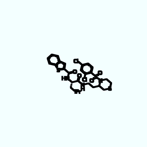 CC(C)C[C@H](NC(=O)c1cc2ccccc2s1)C(=O)NCCC1CSCCN1S(=O)(=O)c1ccc(Cl)cc1Cl